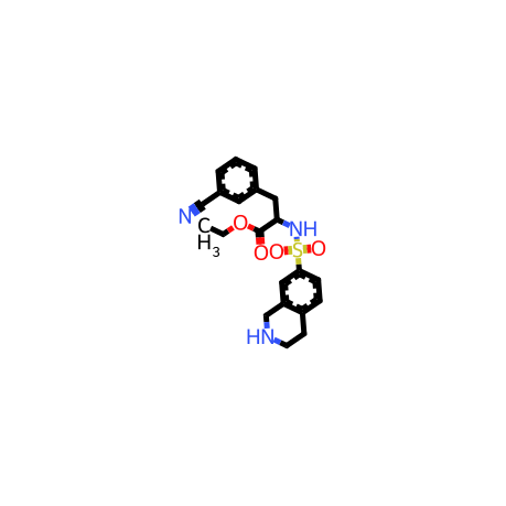 CCOC(=O)C(Cc1cccc(C#N)c1)NS(=O)(=O)c1ccc2c(c1)CNCC2